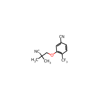 CC(C)(C#N)COc1cc(C#N)ccc1C(F)(F)F